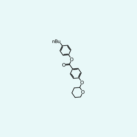 CCCCc1ccc(OC(=O)c2ccc(OC3CCCCO3)cc2)cc1